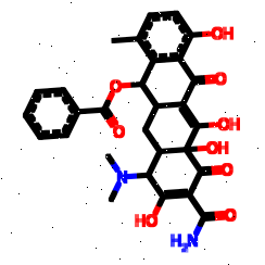 Cc1ccc(O)c2c1C(OC(=O)c1ccccc1)C1CC3C(N(C)C)C(O)=C(C(N)=O)C(=O)C3(O)C(O)=C1C2=O